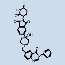 O=C1CCC(N2C(=O)c3ccc(C4(O)CCN(Cc5ccc6ncn(-c7ccccn7)c(=O)c6c5)CC4)cc3C2=O)C(=O)N1